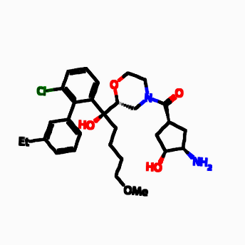 CCc1cccc(-c2c(Cl)cccc2[C@@](O)(CCCCOC)[C@H]2CN(C(=O)[C@H]3C[C@@H](N)[C@@H](O)C3)CCO2)c1